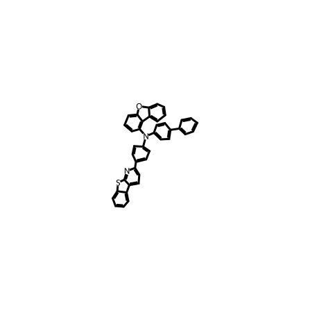 c1ccc(-c2ccc(N(c3ccc(-c4ccc5c(n4)sc4ccccc45)cc3)c3cccc4oc5ccccc5c34)cc2)cc1